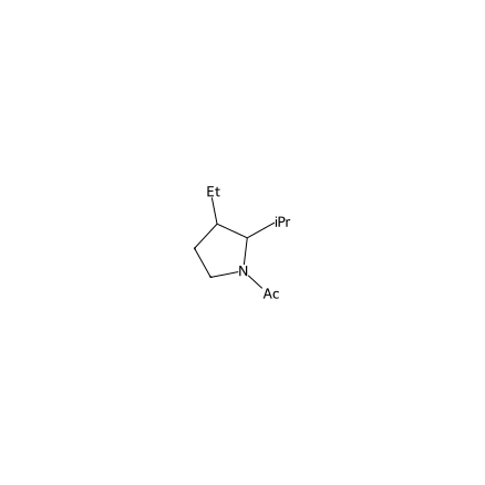 CCC1CCN(C(C)=O)C1C(C)C